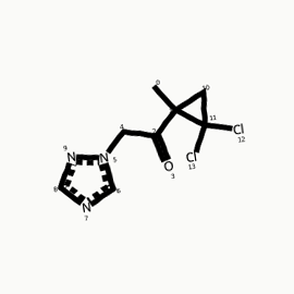 CC1(C(=O)Cn2cncn2)CC1(Cl)Cl